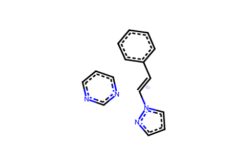 C(=C\n1cccn1)/c1ccccc1.c1cncnc1